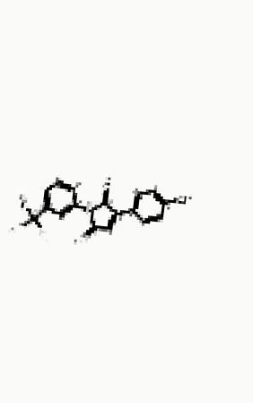 O=C1C=C(c2ccc(Cl)cc2)C(=O)N1c1cccc(C(F)(F)F)c1